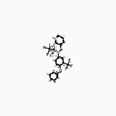 O=S(=O)(N(Cc1cccnc1)c1ccc(Oc2ccccc2)c(C(F)(F)F)c1)C(F)(F)F